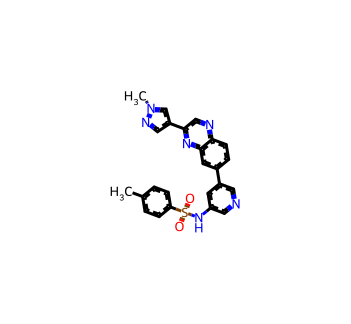 Cc1ccc(S(=O)(=O)Nc2cncc(-c3ccc4ncc(-c5cnn(C)c5)nc4c3)c2)cc1